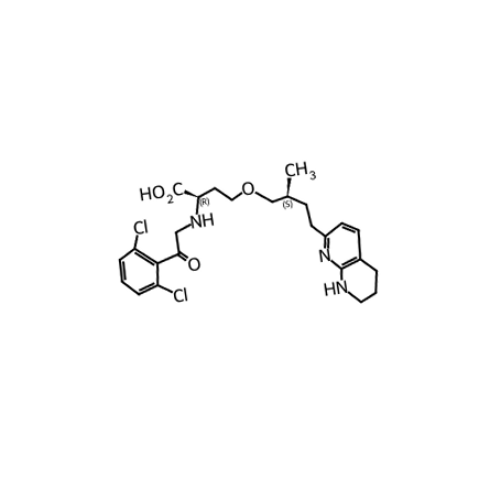 C[C@@H](CCc1ccc2c(n1)NCCC2)COCC[C@@H](NCC(=O)c1c(Cl)cccc1Cl)C(=O)O